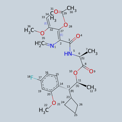 C=N/C(C(=O)N[C@@H](C)C(=O)O[C@@H](C)[C@@H](c1ccc(F)cc1OC)C1CCC1)=C(OC(C)=O)\C(=C/C)OC